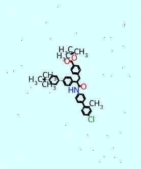 Cc1cc(Cl)ccc1-c1ccc(NC(=O)C(Cc2ccc(C(=O)OC(C)(C)C)cc2)c2ccc([C@H]3CC[C@@H](C(C)(C)C)CC3)cc2)cc1